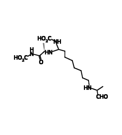 CC(C=O)NCCCCCCCC(NC(=O)O)N[C@@H](C)C(=O)NC(=O)O